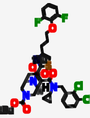 CC(C)(C)OC(=O)N1CC2CC(c3nc(CCCOc4c(F)cccc4F)cs3)=C(C(=O)N(Cc3cccc(Cl)c3Cl)C3CC3)[C@@H](C1)N2C(=O)OC(C)(C)C